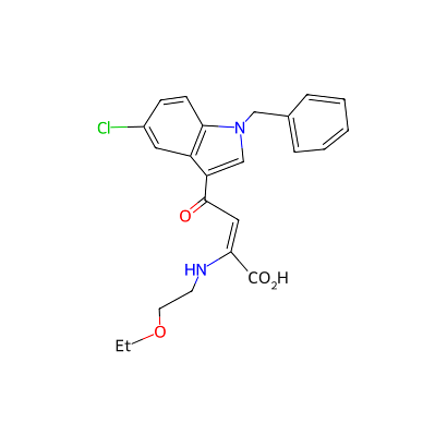 CCOCCNC(=CC(=O)c1cn(Cc2ccccc2)c2ccc(Cl)cc12)C(=O)O